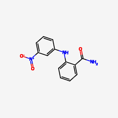 NC(=O)c1ccccc1Nc1cccc([N+](=O)[O-])c1